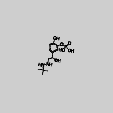 CC(C)(C)NNCC(O)c1ccc(O)c(OP(=O)(O)O)c1